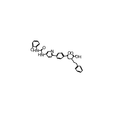 O=C(Nc1ccc(-c2ccc(C(=O)CC(CCc3ccccc3)C(=O)O)cc2)nc1)Nc1ccccc1Cl